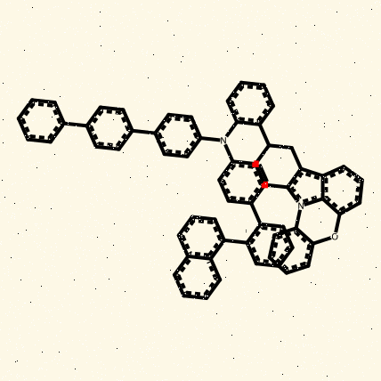 C1=CC(c2ccccc2N(c2ccc(-c3ccc(-c4ccccc4)cc3)cc2)c2ccc(-c3ccccc3-c3cccc4ccccc34)cc2)Cc2c1n1c3c(cccc23)Oc2ccccc2-1